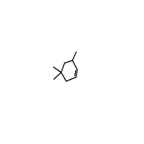 CC1C=[C]CC(C)(C)C1